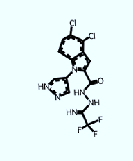 N=C(NNC(=O)c1cc2c(Cl)c(Cl)ccc2n1-c1cn[nH]c1)C(F)(F)F